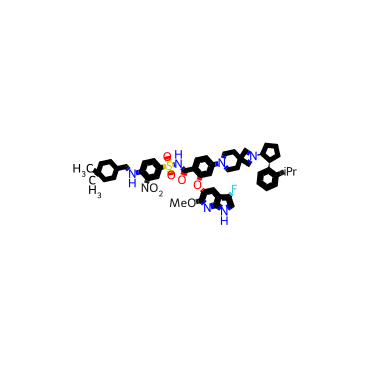 COc1nc2[nH]cc(F)c2cc1Oc1cc(N2CCC3(CC2)CN([C@@H]2CCC[C@@H]2c2ccccc2C(C)C)C3)ccc1C(=O)NS(=O)(=O)c1ccc(NCC2CCC(C)(C)CC2)c([N+](=O)[O-])c1